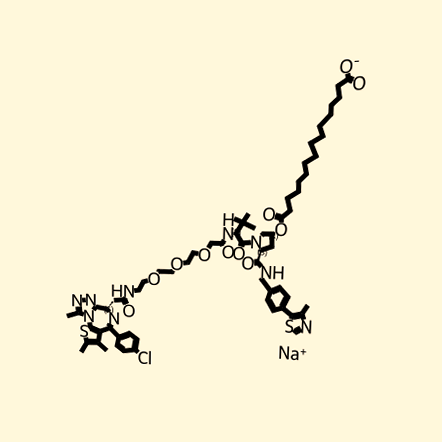 Cc1ncsc1-c1ccc(CNC(=O)[C@@H]2C[C@@H](OC(=O)CCCCCCCCCCCCCCC(=O)[O-])CN2C(=O)[C@@H](NC(=O)COCCOCCOCCNC(=O)C[C@@H]2N=C(c3ccc(Cl)cc3)c3c(sc(C)c3C)-n3c(C)nnc32)C(C)(C)C)cc1.[Na+]